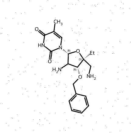 CC[C@@]1(CN)O[C@@H](n2cc(C)c(=O)[nH]c2=O)C(N)[C@H]1OCc1ccccc1